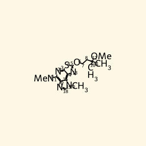 CNc1nc2sc(OCCC(C)(C)OC)nc2c2c1ncn2C